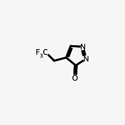 O=C1N=NC=C1CC(F)(F)F